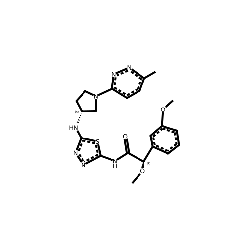 COc1cccc([C@@H](OC)C(=O)Nc2nnc(N[C@@H]3CCN(c4ccc(C)nn4)C3)s2)c1